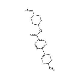 CCCCCC1CCC(OC(=O)c2ccc(C3=CCC(C)CC3)cc2)CC1